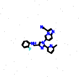 Cc1cccc(-c2nc(CNc3ccccc3F)cn2-c2ccc3ncc(C#N)n3c2)n1